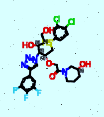 O=C(CO[C@H]1C[SH](c2ccc(Cl)c(Cl)c2)[C@H](CO)[C@H](O)[C@@H]1n1cc(-c2cc(F)c(F)c(F)c2)nn1)N1CCC[C@H](O)C1